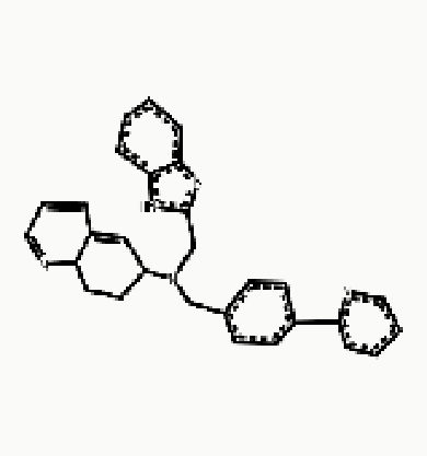 C1=CC2=CC(N(Cc3ccc(-c4ccccn4)cc3)Cc3nc4ccccc4[nH]3)CCC2N=C1